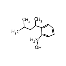 CC(C)CC(C)c1ccccc1[SiH2]O